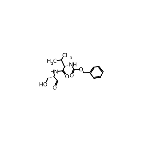 CC(C)[C@H](NC(=O)OCc1ccccc1)C(=O)N[C@H](C=O)CO